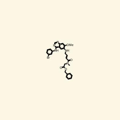 COc1cc2ncnc(Nc3cccc(Br)c3)c2cc1NCC=CC(=O)N(C)CC(=O)OCc1ccccc1